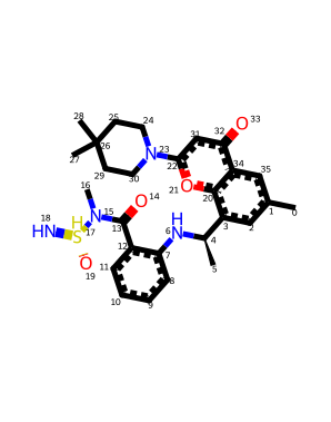 Cc1cc([C@@H](C)Nc2ccccc2C(=O)N(C)[SH](=N)=O)c2oc(N3CCC(C)(C)CC3)cc(=O)c2c1